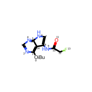 CC(C)COc1ncnc2[nH]cc(NC(=O)CF)c12